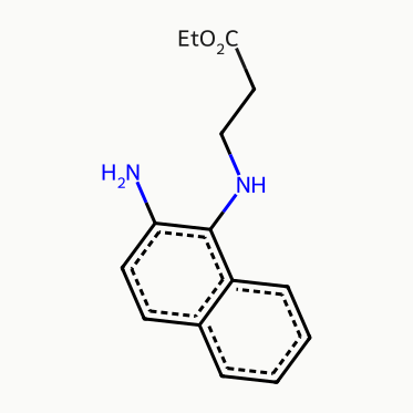 CCOC(=O)CCNc1c(N)ccc2ccccc12